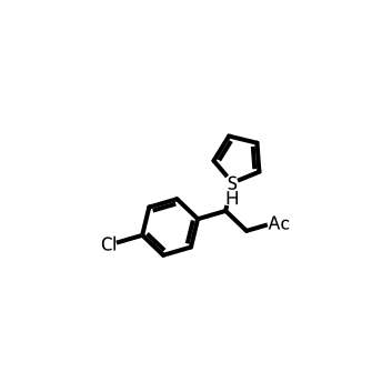 CC(=O)CC(c1ccc(Cl)cc1)[SH]1C=CC=C1